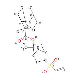 C=CS(=O)(=O)C1CC2CC1CC2(OC(=O)C1(C)C2CC3CC(C2)CC1C3)C(F)(F)F